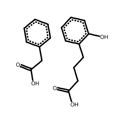 O=C(O)CCCc1ccccc1O.O=C(O)Cc1ccccc1